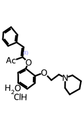 CC(=O)/C(=C\c1ccccc1)Oc1ccccc1OCCN1CCCCC1.Cl.O